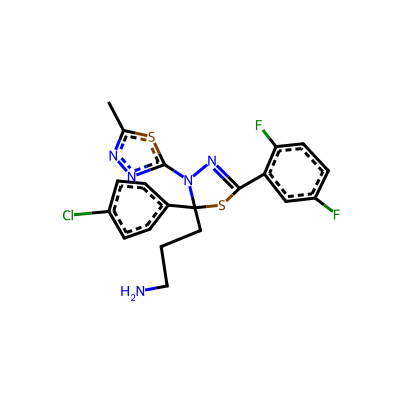 Cc1nnc(N2N=C(c3cc(F)ccc3F)SC2(CCCN)c2ccc(Cl)cc2)s1